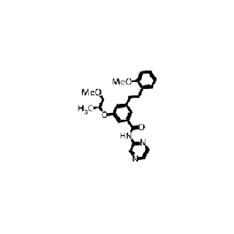 COC[C@H](C)Oc1cc(CCc2ccccc2OC)cc(C(=O)Nc2cnccn2)c1